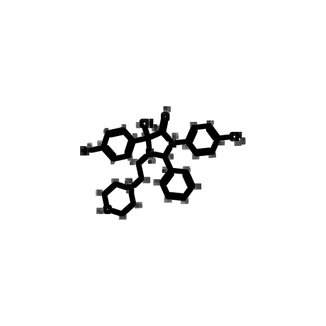 CC1(c2ccc(Br)cc2)C(=O)N(c2ccc(C(F)(F)F)cc2)C(c2ccccc2)N1CCN1CCOCC1